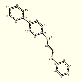 C(=CSc1ccccc1)Oc1ccc(-c2ccccc2)cc1